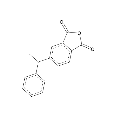 CC(c1ccccc1)c1ccc2c(c1)C(=O)OC2=O